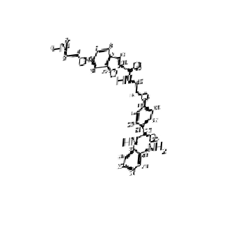 CN(C)CCOc1ccc2cc(C(=O)NCCOc3ccc(C(=O)Nc4ccccc4N)cc3)oc2c1